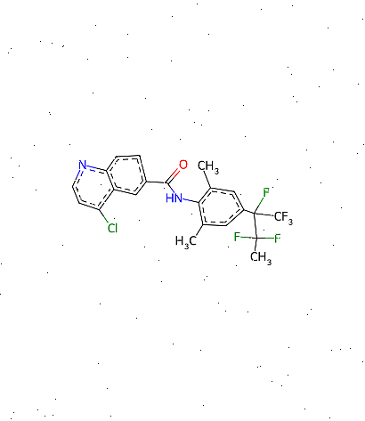 Cc1cc(C(F)(C(C)(F)F)C(F)(F)F)cc(C)c1NC(=O)c1ccc2nccc(Cl)c2c1